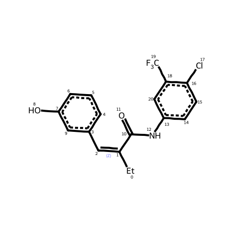 CC/C(=C/c1cccc(O)c1)C(=O)Nc1ccc(Cl)c(C(F)(F)F)c1